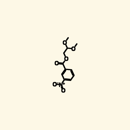 COC(COC(=O)c1cccc([N+](=O)[O-])c1)OC